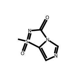 CS1(=O)=NC(=O)n2cncc21